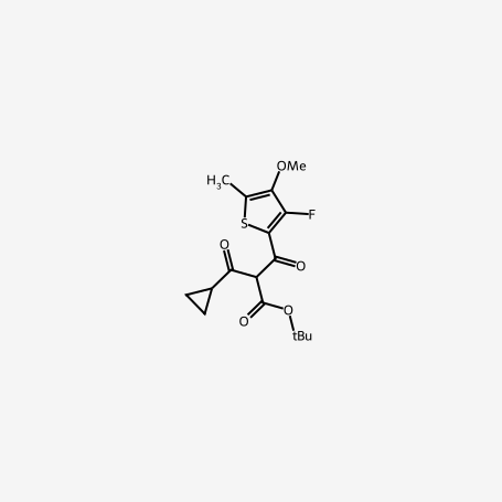 COc1c(C)sc(C(=O)C(C(=O)OC(C)(C)C)C(=O)C2CC2)c1F